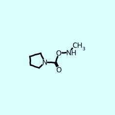 CNOC(=O)N1CCCC1